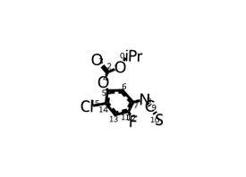 CC(C)OC(=O)Oc1cc(N=C=S)c(F)cc1Cl